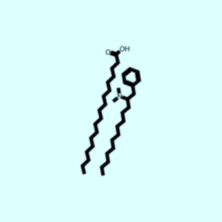 CCCCCCCCCCCC(Cc1ccccc1)N(C)C.CCCCCCCCCCCCCCCCCC(=O)O